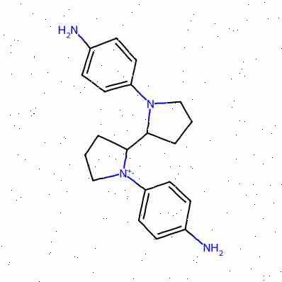 Nc1ccc(N2CCCC2C2CCC[N+]2c2ccc(N)cc2)cc1